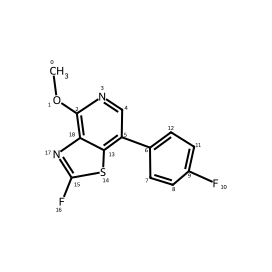 COc1ncc(-c2ccc(F)cc2)c2sc(F)nc12